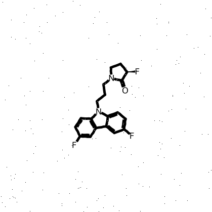 O=C1[C@H](F)CCN1CCCn1c2ccc(F)cc2c2cc(F)ccc21